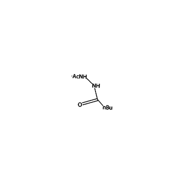 CCCCC(=O)N[N]C(C)=O